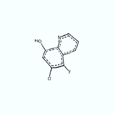 Oc1cc(Cl)c(F)c2cccnc12